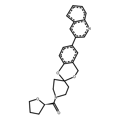 O=C([C@H]1CCCO1)N1CCC2(CC1)OCc1cc(-c3cnc4ccccc4c3)ccc1O2